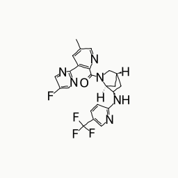 Cc1cnc(C(=O)N2C[C@@H]3C[C@@H](Nc4ccc(C(F)(F)F)cn4)[C@@H]2C3)c(-c2ncc(F)cn2)c1